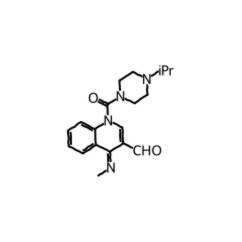 C/N=c1/c(C=O)cn(C(=O)N2CCN(C(C)C)CC2)c2ccccc12